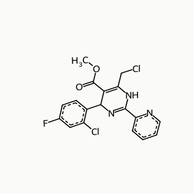 COC(=O)C1=C(CCl)NC(c2ccccn2)=NC1c1ccc(F)cc1Cl